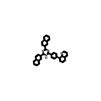 c1ccc2cc(C3=NC(c4ccc5ccccc5c4)NC(c4ccc(-c5cccc6cccnc56)cc4)=N3)ccc2c1